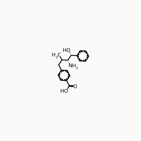 CC(Cc1ccc(C(=O)O)cc1)[C@@H](N)[C@H](O)c1ccccc1